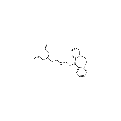 C=CCN(CC=C)CCOCCN1c2ccccc2CCc2ccccc21